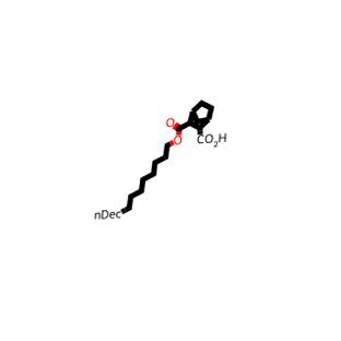 CCCCCCCCCCCCCCCCCCOC(=O)C1C2CCC(C2)C1C(=O)O